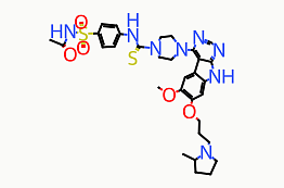 COc1cc2c(cc1OCCCN1CCCC1C)[nH]c1ncnc(N3CCN(C(=S)Nc4ccc(S(=O)(=O)NC(C)=O)cc4)CC3)c12